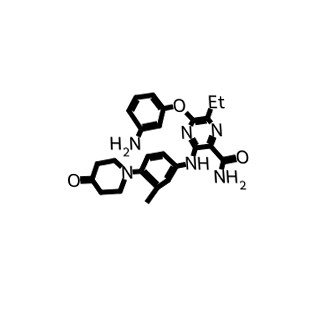 CCc1nc(C(N)=O)c(Nc2ccc(N3CCC(=O)CC3)c(C)c2)nc1Oc1cccc(N)c1